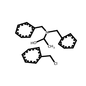 CC(O)N(Cc1ccccc1)Cc1ccccc1.ClCc1ccccc1